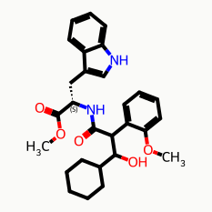 COC(=O)[C@H](Cc1c[nH]c2ccccc12)NC(=O)C(c1ccccc1OC)C(O)C1CCCCC1